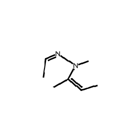 C/C=N\N(C)/C(C)=C\C